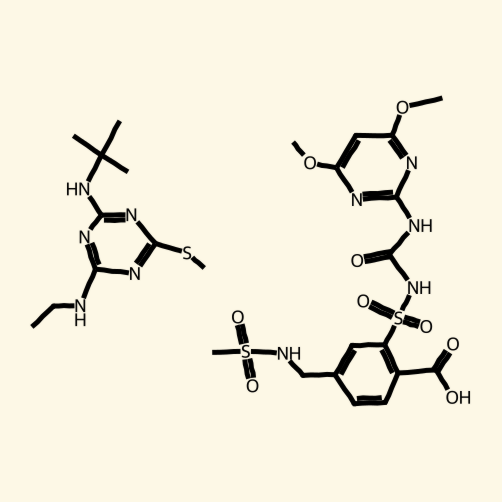 CCNc1nc(NC(C)(C)C)nc(SC)n1.COc1cc(OC)nc(NC(=O)NS(=O)(=O)c2cc(CNS(C)(=O)=O)ccc2C(=O)O)n1